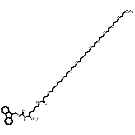 COCCOCCOCCOCCOCCOCCOCCOCCOCCOCCOCCOCCC(=O)NCCCCC(NC(=O)OCC1c2ccccc2-c2ccccc21)C(=O)O